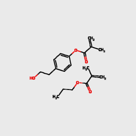 C=C(C)C(=O)OCCC.C=C(C)C(=O)Oc1ccc(CCO)cc1